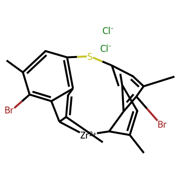 CC1=Cc2c3cc(C)c(Br)c2[CH]1[Zr+2][CH]1C(C)=Cc2c(cc(C)c(Br)c21)S3.[Cl-].[Cl-]